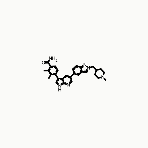 Cc1c(C(N)=O)ccc(-c2c[nH]c3ncc(-c4ccc5nn(CC6CCN(C)CC6)cc5c4)cc23)c1C